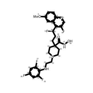 COc1ccc2ncc(F)c([C@H](F)CCC3(C(=O)NO)CCN(CCNc4c(F)cc(F)cc4F)CC3)c2c1